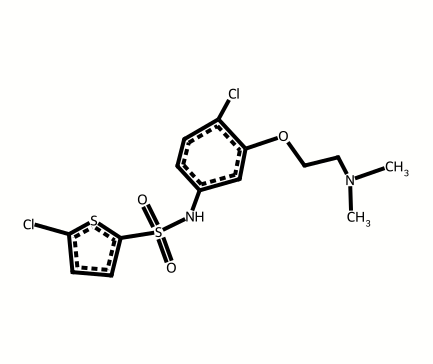 CN(C)CCOc1cc(NS(=O)(=O)c2ccc(Cl)s2)ccc1Cl